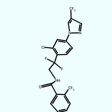 O=C(NCC(F)(F)c1ccc(-n2cc(C(F)(F)F)cn2)cc1Cl)c1ccccc1C(F)(F)F